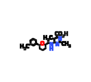 Cc1cccc([C@@H]2CCC[C@H](CNc3nc(C)nc(C(=O)O)c3C)O2)c1